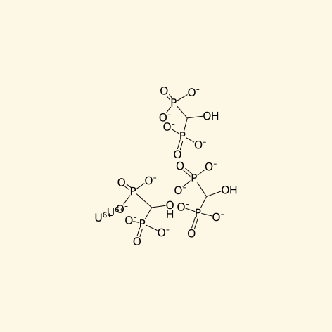 O=P([O-])([O-])C(O)P(=O)([O-])[O-].O=P([O-])([O-])C(O)P(=O)([O-])[O-].O=P([O-])([O-])C(O)P(=O)([O-])[O-].[U+6].[U+6]